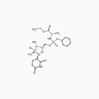 CCOC(=O)C(C)NP(=O)(OC[C@H]1O[C@@H](n2ccc(=O)[nH]c2=O)[C@](C)(Cl)[C@@H]1O)Oc1ccccc1